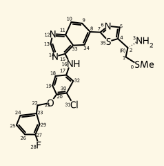 CSC[C@@H](N)c1cnc(-c2ccc3ncnc(Nc4ccc(OCc5cccc(F)c5)c(Cl)c4)c3c2)s1